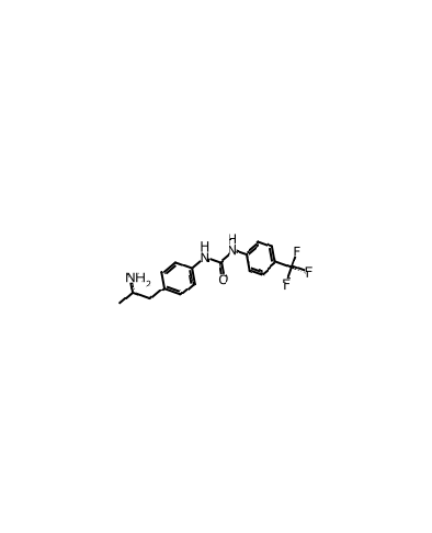 CC(N)Cc1ccc(NC(=O)Nc2ccc(C(F)(F)F)cc2)cc1